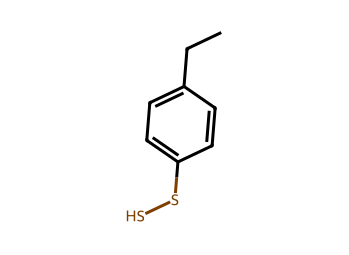 CCc1ccc(SS)cc1